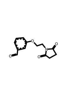 O=Cc1cccc(OCCN2C(=O)CCC2=O)c1